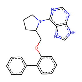 c1ccc(-c2ccccc2OCC2CCCN2c2ncnc3[nH]cnc23)cc1